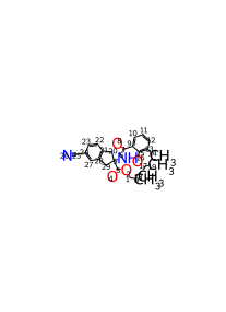 CCOC(=O)C1(NC(=O)c2cccc(C)c2OC(C)C)Cc2ccc(C#N)cc2C1